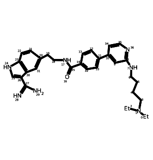 CCN(CC)CCCCNc1cc(-c2ccc(C(=O)NCCc3ccc4[nH]cc(C(=N)N)c4c3)cc2)ccn1